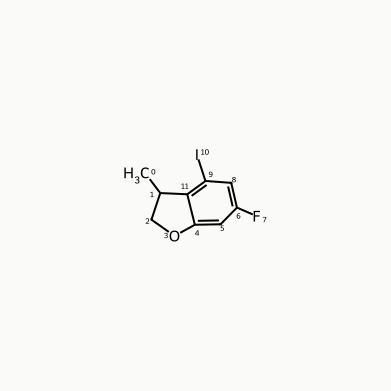 CC1COc2cc(F)cc(I)c21